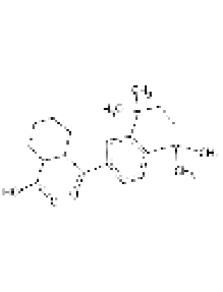 CC1(C)CCC(C)(C)c2cc(C(=O)C3CCCCC3C(=O)O)ccc21